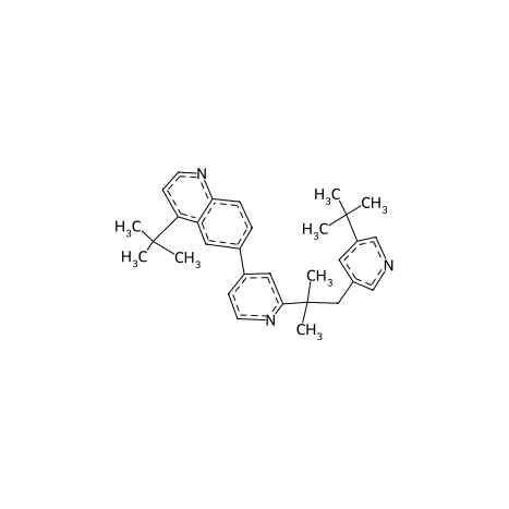 CC(C)(C)c1cncc(CC(C)(C)c2cc(-c3ccc4nccc(C(C)(C)C)c4c3)ccn2)c1